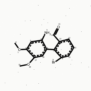 COc1cc(N)c(-c2c(Br)cccc2C=O)cc1OC